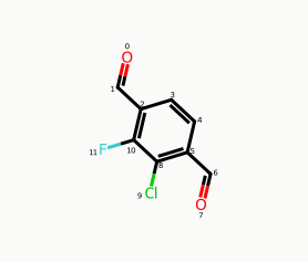 O=Cc1ccc(C=O)c(Cl)c1F